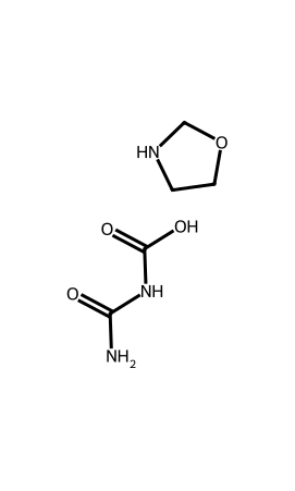 C1COCN1.NC(=O)NC(=O)O